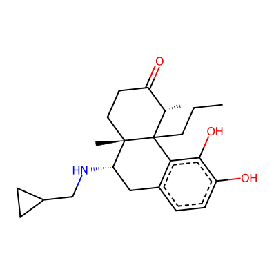 CCCC12c3c(ccc(O)c3O)C[C@H](NCC3CC3)[C@]1(C)CCC(=O)[C@@H]2C